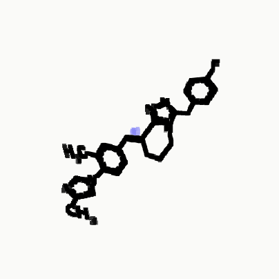 Cc1cn(-c2ccc(/C=C3\CCCn4c(Cc5ccc(F)cc5)nnc43)cc2C)cn1